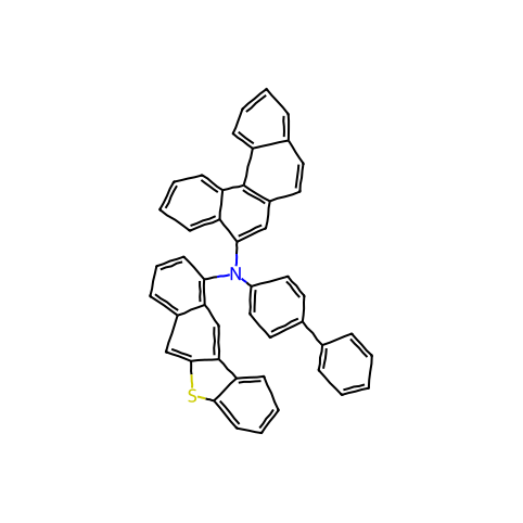 c1ccc(-c2ccc(N(c3cccc4cc5sc6ccccc6c5cc34)c3cc4ccc5ccccc5c4c4ccccc34)cc2)cc1